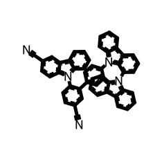 N#Cc1ccc(-n2c3ccccc3c3cc(C#N)ccc32)c(-c2ccc(-n3c4ccccc4c4cccc(-n5c6ccccc6c6ccccc65)c43)cc2)c1